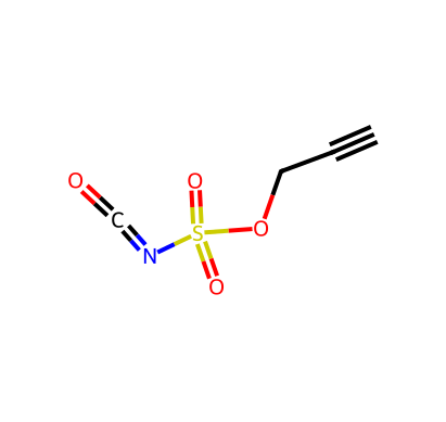 C#CCOS(=O)(=O)N=C=O